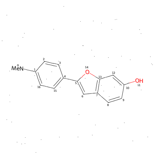 [11CH3]Nc1ccc(-c2cc3ccc(O)cc3o2)cc1